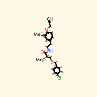 C#CCOc1ccc(CCNC(=O)[C@@H](COCc2ccc(Cl)cc2)OC)cc1OC